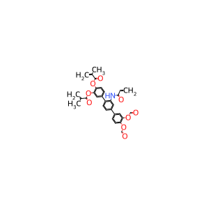 C=CC(=O)Nc1cc(-c2ccc(OC=O)c(OC=O)c2)ccc1-c1ccc(OC(=O)C(=C)C)c(OC(=O)C(=C)C)c1